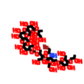 CC(O)CO[C@@H]1C(CO)O[C@H](OCC(O)C(NC(=O)CBr)[C@H](OCCO)O[C@@H](C(O)CO)C(CO)OCO[C@@H]2C(CO)O[C@H](O[C@@H]3C(CO)O[C@H](O[C@@H]4C(CO)O[C@H](OC(C)C(O)CO)C(O)C4O)C(O)C3O)C(O)C2O)C(O)C1O